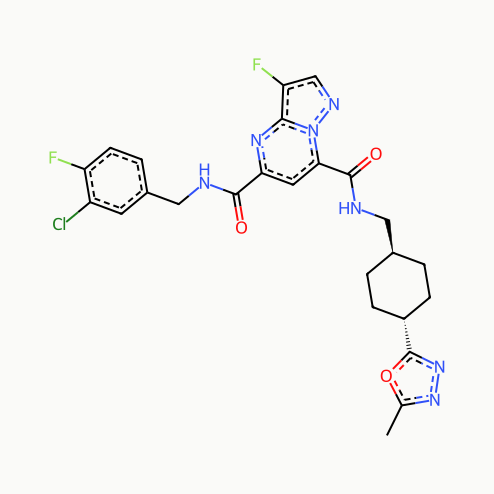 Cc1nnc([C@H]2CC[C@H](CNC(=O)c3cc(C(=O)NCc4ccc(F)c(Cl)c4)nc4c(F)cnn34)CC2)o1